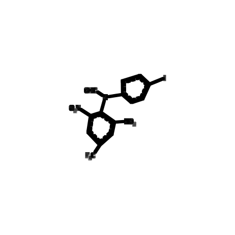 O=CN(c1ccc(I)cc1)c1c([N+](=O)[O-])cc(C(F)(F)F)cc1[N+](=O)[O-]